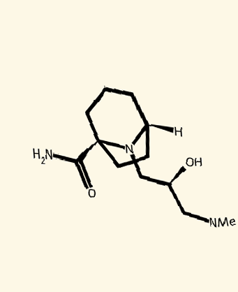 CNC[C@H](O)CN1[C@@H]2C[CH]C[C@@]1(C(N)=O)CC2